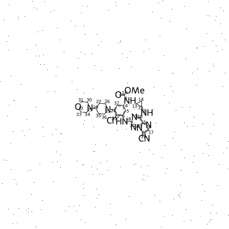 COC(=O)Nc1cc(Nc2nc(NC3CC3)c3ncc(C#N)n3n2)c(Cl)c(N2CCC(N3CCOCC3)CC2)c1